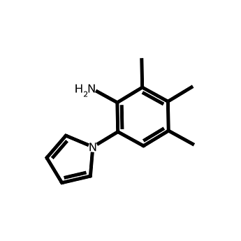 Cc1cc(-n2cccc2)c(N)c(C)c1C